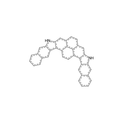 c1ccc2cc3c(cc2c1)[nH]c1cc2ccc4cc5[nH]c6cc7ccccc7cc6c5c5ccc(c13)c2c45